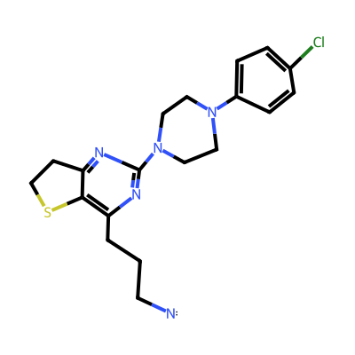 [N]CCCc1nc(N2CCN(c3ccc(Cl)cc3)CC2)nc2c1SCC2